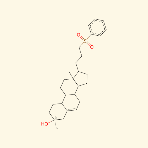 CC12CCC3C4CC[C@](C)(O)CC4=CCC3C1CCC2CCCS(=O)(=O)c1ccccc1